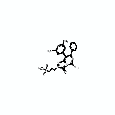 Cc1cc(-c2c(-c3ccccc3)nc(N)n3c(=O)n(CCCS(=O)(=O)O)nc23)cc(C)n1